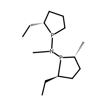 CC[C@@H]1CCCP1N(C)P1[C@H](CC)CC[C@H]1C